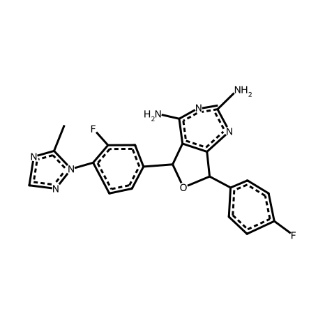 Cc1ncnn1-c1ccc(C2OC(c3ccc(F)cc3)c3nc(N)nc(N)c32)cc1F